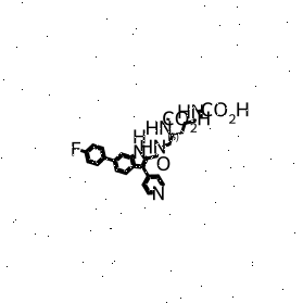 O=C(O)NCCC[C@@H](CNC(=O)c1[nH]c2cc(-c3ccc(F)cc3)ccc2c1-c1ccncc1)NC(=O)O